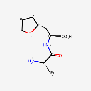 CC(C)[C@H](N)C(=O)N[C@@H](C[C@H]1CCCO1)C(=O)O